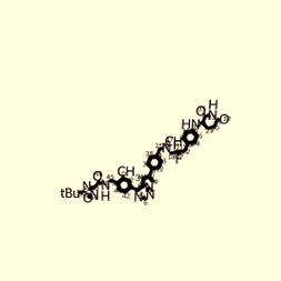 Cc1cc(-c2ncnn3cc(-c4ccc(CN(C)CC(F)(F)Cc5ccc(NC6CCC(=O)NC6=O)cc5)cc4)cc23)ccc1CNC(=O)c1noc(C(C)(C)C)n1